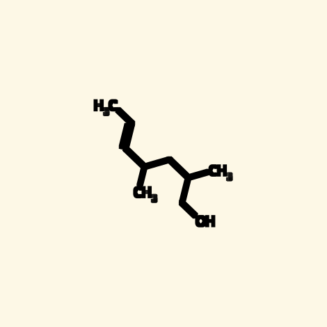 CC=CC(C)CC(C)CO